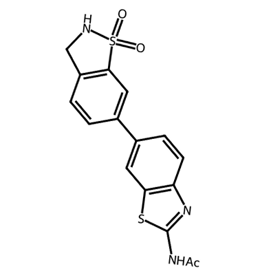 CC(=O)Nc1nc2ccc(-c3ccc4c(c3)S(=O)(=O)NC4)cc2s1